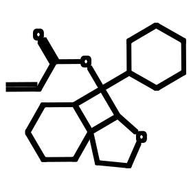 C=CC(=O)OC1(C2CCCCC2)C2CCCCC23CCOC31